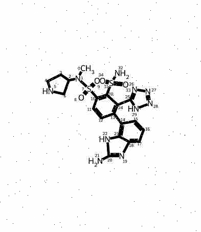 CN(C1CCNC1)S(=O)(=O)c1ccc(-c2cccc3nc(N)[nH]c23)c(-c2nnn[nH]2)c1S(N)(=O)=O